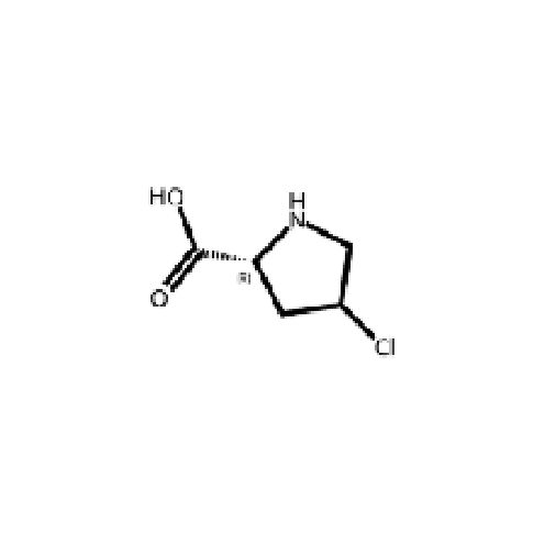 O=C(O)[C@H]1CC(Cl)CN1